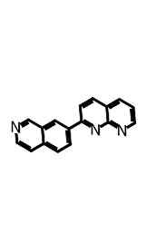 c1cnc2nc(-c3ccc4ccncc4c3)ccc2c1